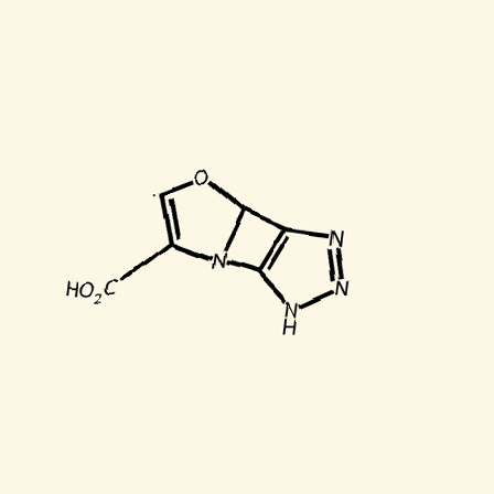 O=C(O)C1=[C]OC2c3nn[nH]c3N12